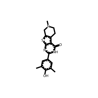 Cc1cc(-c2nc3sc4c(c3c(=O)[nH]2)CCN(C)C4)cc(C)c1O